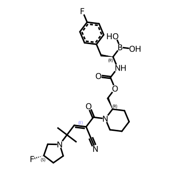 CC(C)(/C=C(\C#N)C(=O)N1CCCC[C@@H]1COC(=O)N[C@@H](Cc1ccc(F)cc1)B(O)O)N1CC[C@H](F)C1